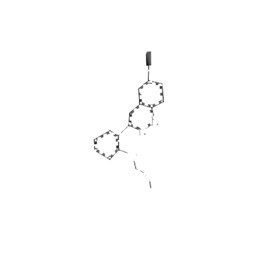 C#Cc1ccc2nnc(-c3ccccc3OCOC)cc2c1